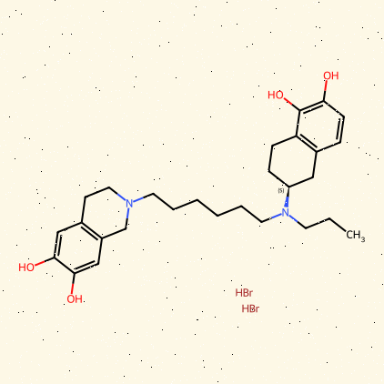 Br.Br.CCCN(CCCCCCN1CCc2cc(O)c(O)cc2C1)[C@H]1CCc2c(ccc(O)c2O)C1